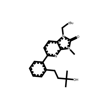 Cn1c(=O)n(CC(C)(C)C)c2ccc(-c3ccccc3CCC(C)(C)O)nc21